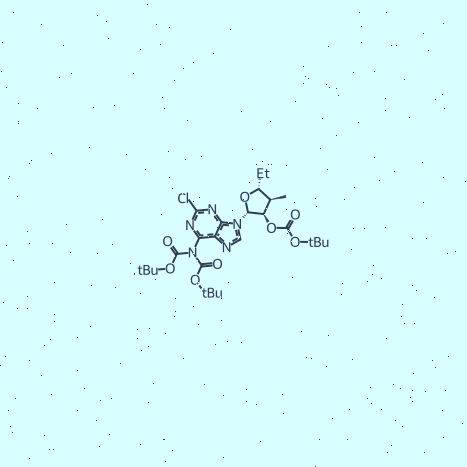 CC[C@H]1O[C@@H](n2cnc3c(N(C(=O)OC(C)(C)C)C(=O)OC(C)(C)C)nc(Cl)nc32)[C@H](OC(=O)OC(C)(C)C)[C@@H]1C